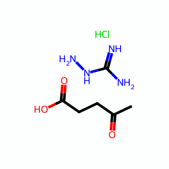 CC(=O)CCC(=O)O.Cl.N=C(N)NN